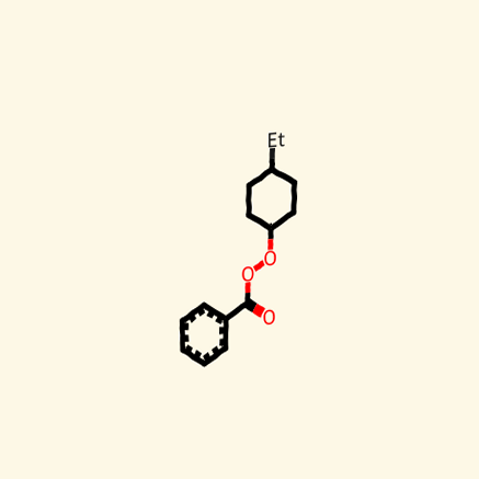 CCC1CC[C](OOC(=O)c2ccccc2)CC1